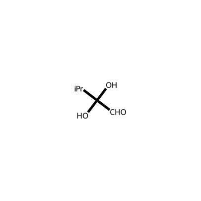 CC(C)C(O)(O)C=O